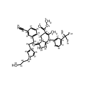 COC(=O)C1=C(C)N(c2cccc(C(F)(F)F)c2)c2n[nH]c(=O)n2[C@@H]1c1ccc(C#N)cc1CC[n+]1ccn(CCCO)c1